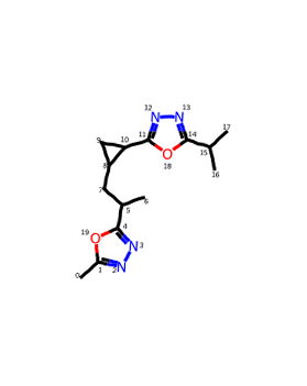 Cc1nnc(C(C)CC2CC2c2nnc(C(C)C)o2)o1